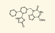 CCCCC(=O)N(Cc1ccc(-c2ccccc2)c(-c2nc(=O)s[nH]2)c1)c1sccc1C(=O)OC